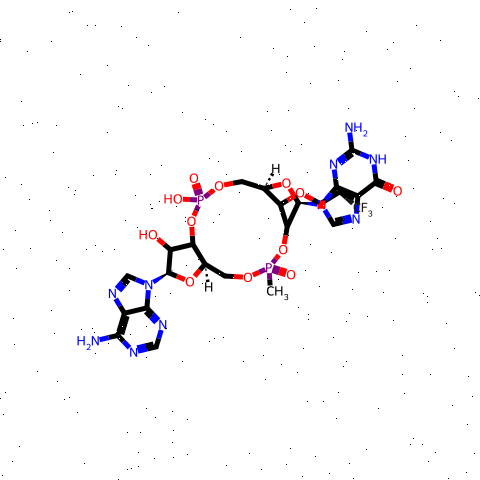 CP1(=O)OC[C@H]2O[C@@H](n3cnc4c(N)ncnc43)C(O)C2OP(=O)(O)OC[C@H]2O[C@@H](n3cnc4c(=O)[nH]c(N)nc43)C(O1)C2OCCC(F)(F)F